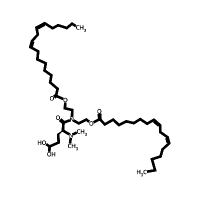 CCCCC/C=C\C/C=C\CCCCCCCC(=O)OCCN(CCOC(=O)CCCCCCC/C=C\C/C=C\CCCCC)C(=O)[C@H](CCC(O)O)N(C)C